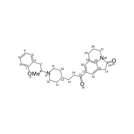 COc1ccccc1CCN1CCC(CCC(=O)c2cc3c4c(c2)CC(=O)N4CCC3)CC1